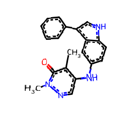 Cc1c(Nc2ccc3[nH]cc(-c4ccccc4)c3c2)cnn(C)c1=O